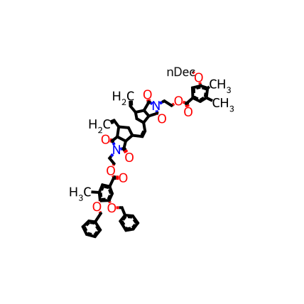 C=CC1CC(/C=C\C2CC(C=C)C3C(=O)N(CCOC(=O)c4cc(C)c(OCc5ccccc5)c(OCc5ccccc5)c4)C(=O)C23)C2C(=O)N(CCOC(=O)c3cc(C)c(C)c(OCCCCCCCCCC)c3)C(=O)C12